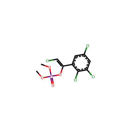 COP(=O)(OC)OC(=CCl)c1cc(Cl)cc(Cl)c1Cl